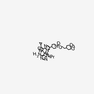 CC(C)n1nc(-c2noc(C3CC3)c2-c2ncc(C3CCN(C(=O)OCCC4CCC5(CC4)OCCO5)CC3)cn2)c2c(N)ncnc21